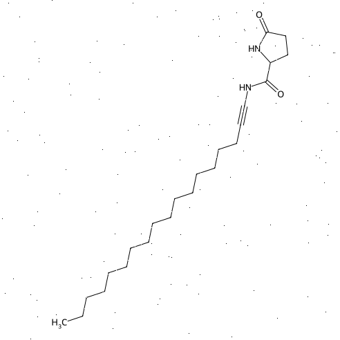 CCCCCCCCCCCCCCCCC#CNC(=O)C1CCC(=O)N1